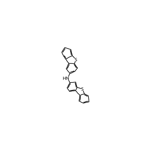 c1ccc2c(c1)sc1cc(Nc3ccc4sc5ccccc5c4c3)ccc12